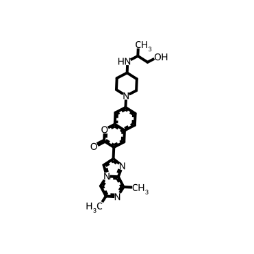 Cc1cn2cc(-c3cc4ccc(N5CCC(NC(C)CO)CC5)cc4oc3=O)nc2c(C)n1